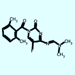 Cc1cccc(C)c1C(=O)n1cc(F)c(N=CN(C)C)nc1=O